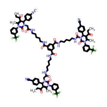 [C-]#[N+]c1ccc(C2C(C(=O)CC)=C(C)N(c3cccc(C(F)(F)F)c3)C(=O)N2CC(=O)NCCCCCNC(=O)c2cc(C(=O)NCCCCCNC(=O)CN3C(=O)N(c4cccc(C(F)(F)F)c4)C(C)=C(C(=O)CC)C3c3ccc(C#N)cc3)cc(C(=O)NCCCCCNC(=O)N3C(=O)N(c4cccc(C(F)(F)F)c4)C(C)=C(C(=O)CC)C3c3ccc(C#N)cc3)c2)cc1